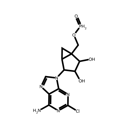 Nc1nc(Cl)nc2c1ncn2C1C(O)C(O)C2(CO[PH2]=O)CC12